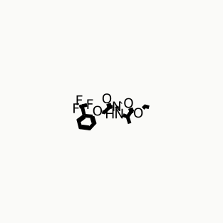 CCOC(=O)C(C)NN(C)C(=O)COc1ccccc1C(F)(F)F